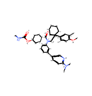 CNC(=O)O[C@H]1CC[C@H](C(=O)N(CC2(c3ccc(OC)c(C)c3)CCCCC2)c2cccc(-c3ccc(N(C)C)nc3)c2)CC1